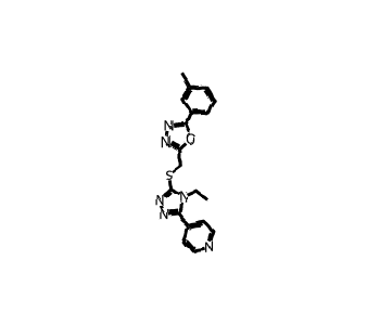 CCn1c(SCc2nnc(-c3cccc(C)c3)o2)nnc1-c1ccncc1